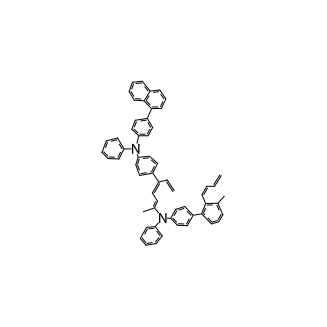 C=C/C=C\c1c(C)cccc1-c1ccc(N(/C(C)=C/C=C(\C=C)c2ccc(N(c3ccccc3)c3ccc(-c4cccc5ccccc45)cc3)cc2)c2ccccc2)cc1